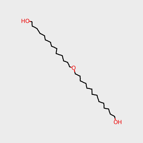 OCCCCCCCCCCCCCCOCCCCCCCCCCCCCCO